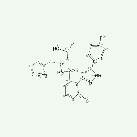 C[C@@H](O)C[C@@H](Cc1ccccn1)NC(=O)c1cccc(F)c1-c1cc(-c2ccc(F)cc2)[nH]n1